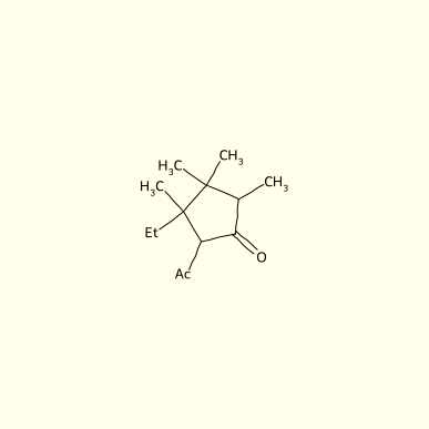 CCC1(C)C(C(C)=O)C(=O)C(C)C1(C)C